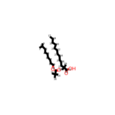 CC(C)CCCCCCCOC(=O)C(C)(C)C.CCCCCCCCCCCC(C)(C)C(=O)O